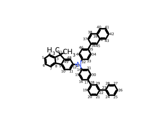 CC1(C)c2ccccc2-c2ccc(N(c3ccc(-c4cccc(-c5ccccc5)c4)cc3)c3ccc(-c4ccc5ccccc5c4)cc3)cc21